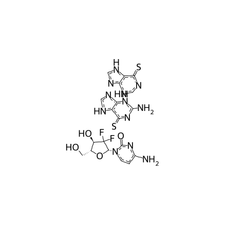 Nc1ccn([C@@H]2O[C@H](CO)[C@@H](O)C2(F)F)c(=O)n1.Nc1nc(=S)c2[nH]cnc2[nH]1.S=c1nc[nH]c2nc[nH]c12